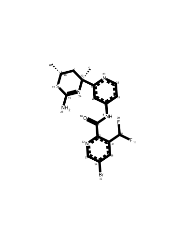 C[C@@H]1C[C@@](C)(c2cc(NC(=O)c3ncc(Br)cc3C(F)F)ccn2)N=C(N)S1